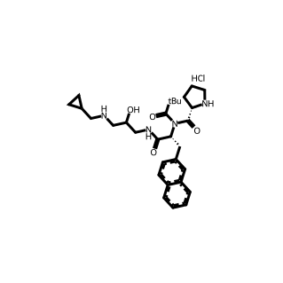 CC(C)(C)C(=O)N(C(=O)[C@@H]1CCCN1)[C@H](Cc1ccc2ccccc2c1)C(=O)NCC(O)CNCC1CC1.Cl